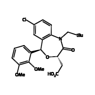 COc1cccc([C@@H]2O[C@@H](CC(=O)O)C(=O)N(CC(C)(C)C)c3ccc(Cl)cc32)c1OC